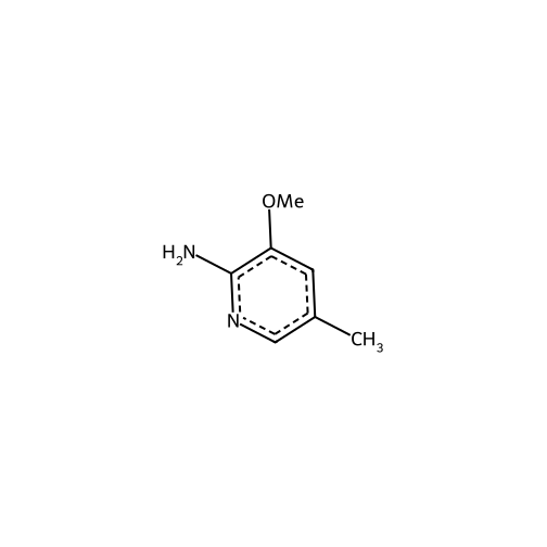 COc1cc(C)cnc1N